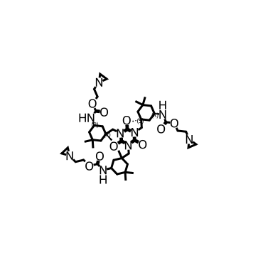 CC1(C)CC(NC(=O)OCCN2CC2)CC(C)(Cn2c(=O)n(C[C@]3(C)C[C@H](NC(=O)OCCN4CC4)CC(C)(C)C3)c(=O)n(C[C@@]3(C)C[C@H](NC(=O)OCCN4CC4)CC(C)(C)C3)c2=O)C1